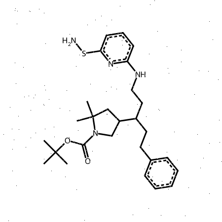 CC(C)(C)OC(=O)N1CC(C(CCNc2cccc(SN)n2)CCc2ccccc2)CC1(C)C